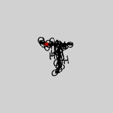 CCN(C(=O)CNC(=O)COC(=O)COC(C)=O)[C@H]1CN(CCCOC)S(=O)(=O)c2sc(S(=O)(=O)NC(=O)CNC(=O)COC(=O)COC(C)=O)cc21